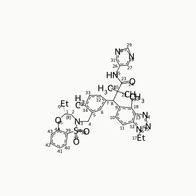 CC[C@@H]1CN(Cc2cc(C(c3ccc4c(nnn4CC)c3C)C(C)(C)C(=O)Nc3cncnc3)ccc2C)S(=O)(=O)c2ccccc2O1